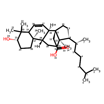 CC(C)CCC[C@@H](C)[C@H]1CC[C@@]2(CC(=O)O)[C@@H]3C=CC4C(C)(C)[C@@H](O)CC[C@]4(C)[C@H]3CC[C@]12C